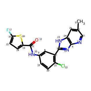 Cc1cnc2nc(-c3cc(NC(=O)c4ccc(F)s4)ccc3Cl)[nH]c2c1